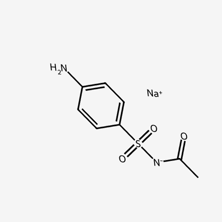 CC(=O)[N-]S(=O)(=O)c1ccc(N)cc1.[Na+]